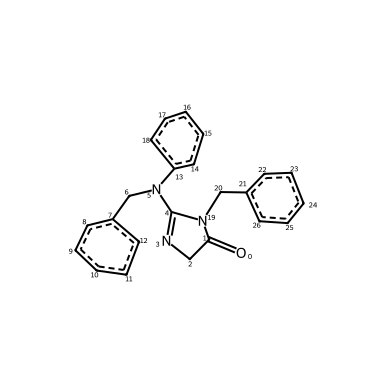 O=C1CN=C(N(Cc2ccccc2)c2ccccc2)N1Cc1ccccc1